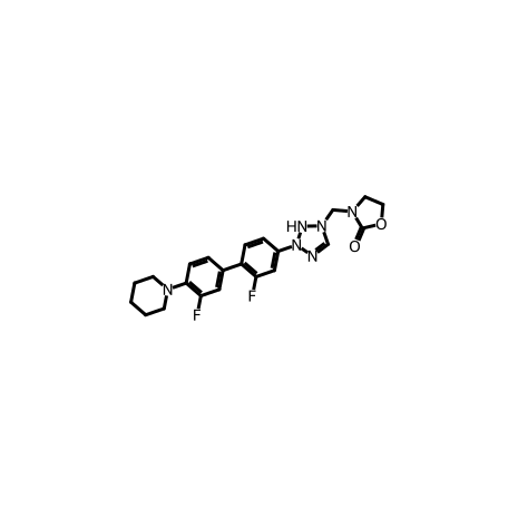 O=C1OCCN1CN1C=NN(c2ccc(-c3ccc(N4CCCCC4)c(F)c3)c(F)c2)N1